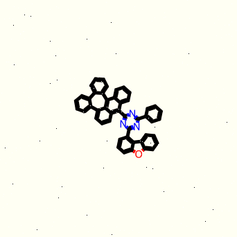 c1ccc(-c2nc(-c3c4ccccc4c4c5c(cccc35)-c3ccccc3-c3ccccc3-4)nc(-c3cccc4oc5ccccc5c34)n2)cc1